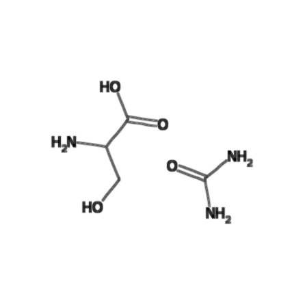 NC(CO)C(=O)O.NC(N)=O